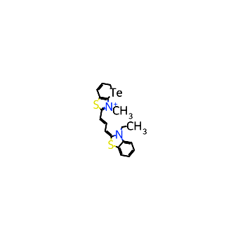 CCN1C(=CC=Cc2sc3c([n+]2C)[Te]CC=C3)Sc2ccccc21